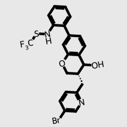 OC1c2ccc(-c3ccccc3NSC(F)(F)F)cc2OC[C@H]1Cc1ccc(Br)cn1